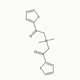 C[N+](C)(CC(=O)c1cccs1)CC(=O)c1cccs1